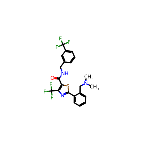 CN(C)Cc1ccccc1-c1nc(C(F)(F)F)c(C(=O)NCc2cccc(C(F)(F)F)c2)s1